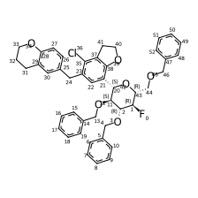 F[C@H]1[C@H](OCc2ccccc2)[C@@H](OCc2ccccc2)[C@H](c2cc(Cc3ccc4c(c3)CCCO4)c(Cl)c3c2OCC3)O[C@@H]1COCc1ccccc1